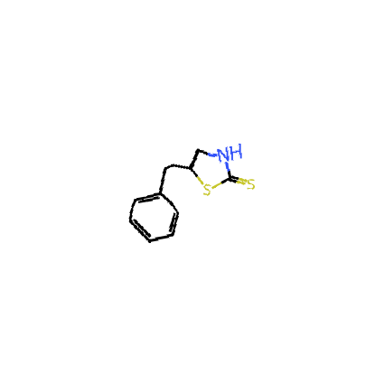 S=C1NCC(Cc2ccccc2)S1